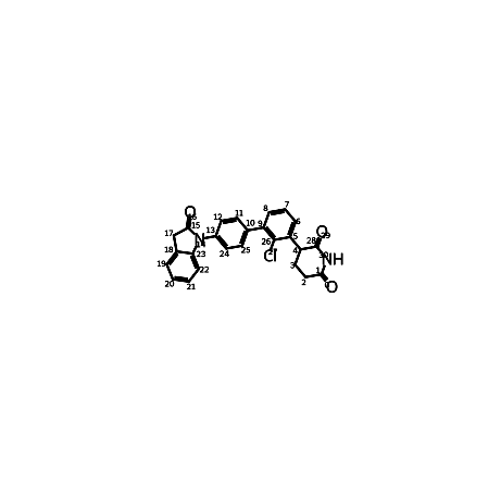 O=C1CCC(c2cccc(-c3ccc(N4C(=O)Cc5ccccc54)cc3)c2Cl)C(=O)N1